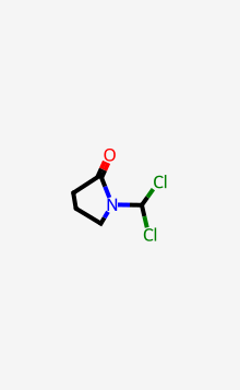 O=C1CCCN1C(Cl)Cl